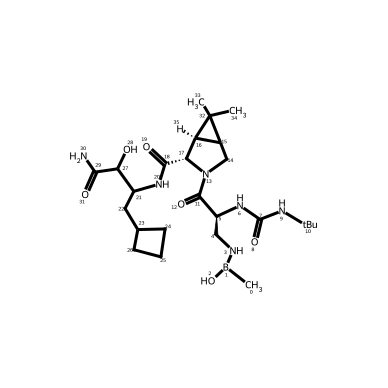 CB(O)NC[C@H](NC(=O)NC(C)(C)C)C(=O)N1CC2[C@@H]([C@H]1C(=O)NC(CC1CCC1)C(O)C(N)=O)C2(C)C